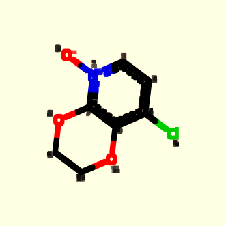 [O-][n+]1ccc(Cl)c2c1OCCO2